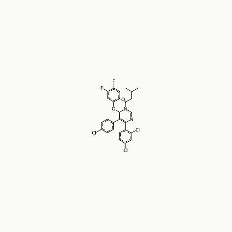 CC(C)CC(=O)N1C=NC(c2ccc(Cl)cc2Cl)=C(c2ccc(Cl)cc2)C1Oc1ccc(F)c(F)c1